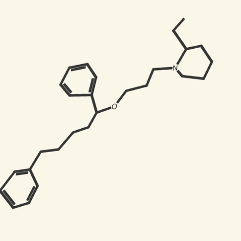 CCC1CCCCN1CCCOC(CCCCc1ccccc1)c1ccccc1